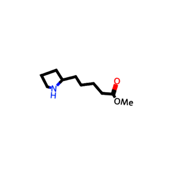 COC(=O)CCCCC1CCCN1